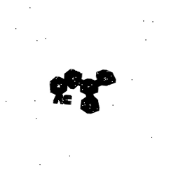 CC(=O)c1ccccc1.c1ccc(-c2cc(-c3ccccc3)cc(-c3ccccc3)c2)cc1